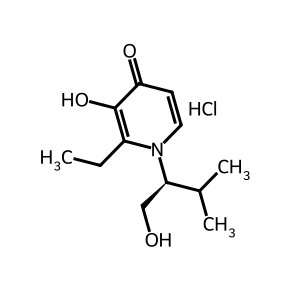 CCc1c(O)c(=O)ccn1[C@H](CO)C(C)C.Cl